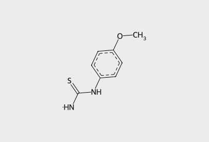 COc1ccc(NC([NH])=S)cc1